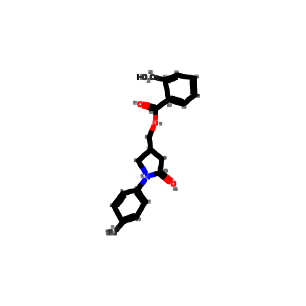 CC(C)(C)c1ccc(N2CC(COC(=O)c3ccccc3C(=O)O)CC2=O)cc1